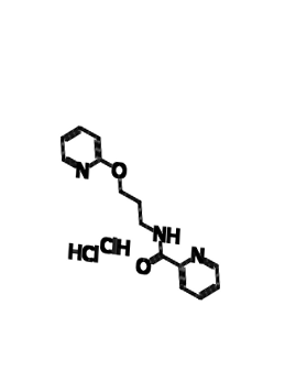 Cl.Cl.O=C(NCCCOc1ccccn1)c1ccccn1